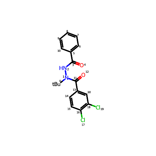 CC(C)(C)N(NC(=O)c1ccccc1)C(=O)c1ccc(Cl)c(Cl)c1